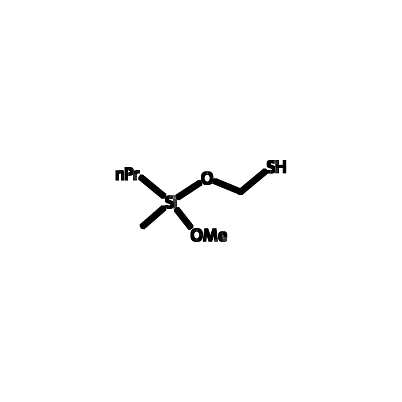 CCC[Si](C)(OC)OCS